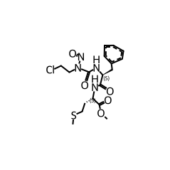 COC(=O)[C@H](CCSC)NC(=O)[C@H](Cc1ccccc1)NC(=O)N(CCCl)N=O